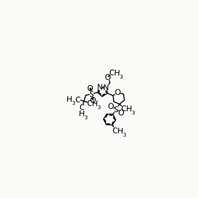 COCn1nc(S(=O)(=O)CC(C)(C)C)cc1C1CC(C)(S(=O)(=O)c2cccc(C)c2)CCO1